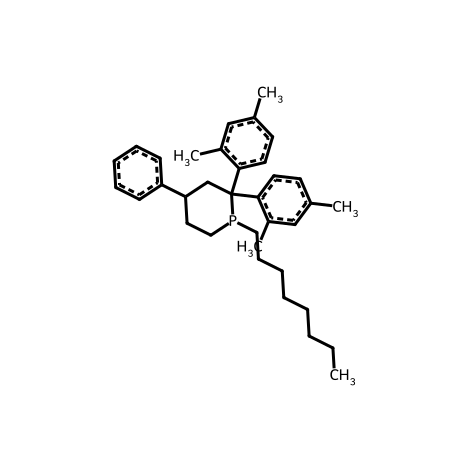 CCCCCCCCP1CCC(c2ccccc2)CC1(c1ccc(C)cc1C)c1ccc(C)cc1C